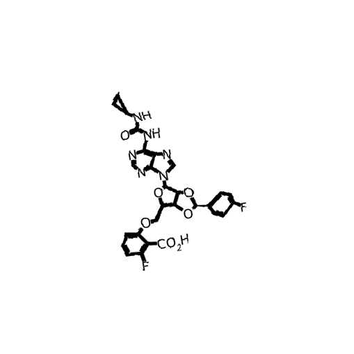 O=C(Nc1ncnc2c1ncn2C1OC(COc2cccc(F)c2C(=O)O)C2O[C@H](c3ccc(F)cc3)OC21)NC1CC1